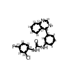 O=C(Nc1cccc(-c2ncnc3ccccc23)c1)Nc1ccc(F)cc1Cl